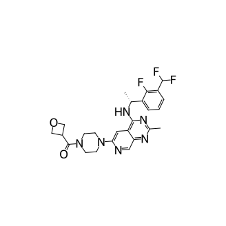 Cc1nc(N[C@H](C)c2cccc(C(F)F)c2F)c2cc(N3CCN(C(=O)C4COC4)CC3)ncc2n1